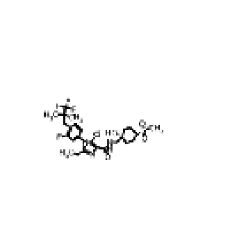 CCc1nc(C(=O)NC[C@]2(O)CC[C@@H](S(C)(=O)=O)CC2)c(Cl)n1-c1ccc(CC(C)(C)C(F)(F)F)c(F)c1